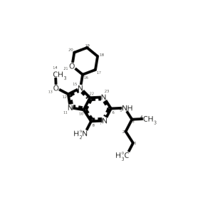 CCCC(C)Nc1nc(N)c2nc(OC)n(C3CCCCO3)c2n1